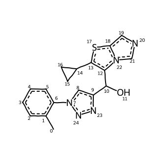 Cc1ccccc1-n1cc(C(O)c2c(C3CC3)sc3cncn23)nn1